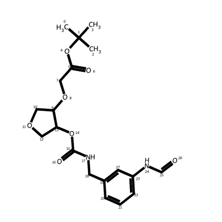 CC(C)(C)OC(=O)COC1COCC1OC(=O)NCc1cccc(NC=O)c1